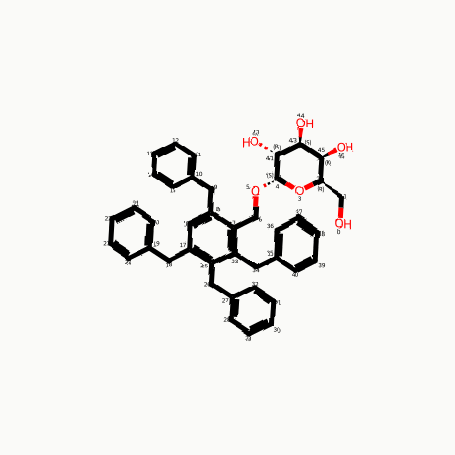 OC[C@H]1O[C@H](OCc2c(Cc3ccccc3)cc(Cc3ccccc3)c(Cc3ccccc3)c2Cc2ccccc2)[C@H](O)[C@@H](O)[C@H]1O